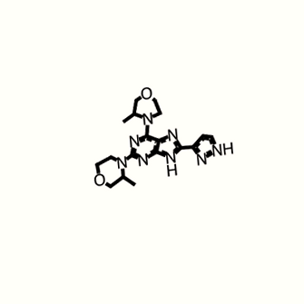 CC1COCCN1c1nc(N2CCOCC2C)c2nc(-c3cc[nH]n3)[nH]c2n1